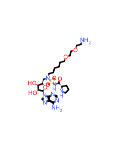 NCCOCCOCCCCCCN(C[C@H]1O[C@@H](n2cnc3c(N)ncnc32)[C@H](O)[C@@H]1O)S(=O)(=O)NC(=O)[C@@H]1CCCN1